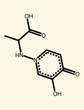 CC(Nn1ccc(=O)c(O)c1)C(=O)O